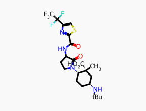 CC(C)(C)N[C@@H]1CC[C@H](N2CCC(NC(=O)c3nc(C(F)(F)C(F)(F)F)cs3)C2=O)[C@](C)(C(=O)O)C1